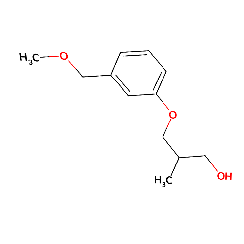 COCc1cccc(OCC(C)CO)c1